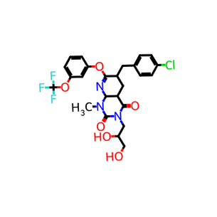 CN1C(=O)N(CC(O)CO)C(=O)C2CC(Cc3ccc(Cl)cc3)C(Oc3cccc(OC(F)(F)F)c3)=NC21